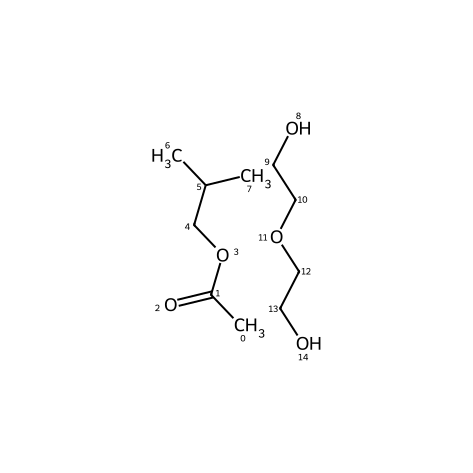 CC(=O)OCC(C)C.OCCOCCO